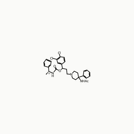 CC(=O)NC1(c2ccccc2)CCN(CCC(OC(=O)N[C@@H](C)c2ccccc2)c2ccc(Cl)c(Cl)c2)CC1